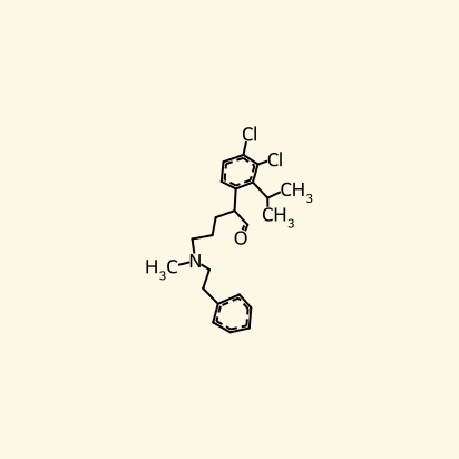 CC(C)c1c(C(C=O)CCCN(C)CCc2ccccc2)ccc(Cl)c1Cl